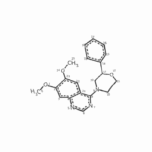 COc1cc2ncnc(N3CCOC(c4ccccc4)C3)c2cc1OC